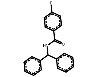 O=C(NC(c1ccccc1)c1ccccc1)c1ccc(F)cc1